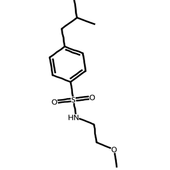 COCCNS(=O)(=O)c1ccc(CC(C)C)cc1